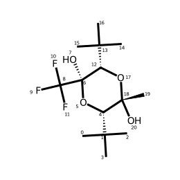 CC(C)(C)[C@@H]1O[C@@](O)(C(F)(F)F)[C@H](C(C)(C)C)O[C@]1(C)O